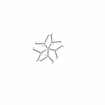 C[N](C)[Ta-]([N](C)C)([N](C)C)([N](C)C)[N](C)C